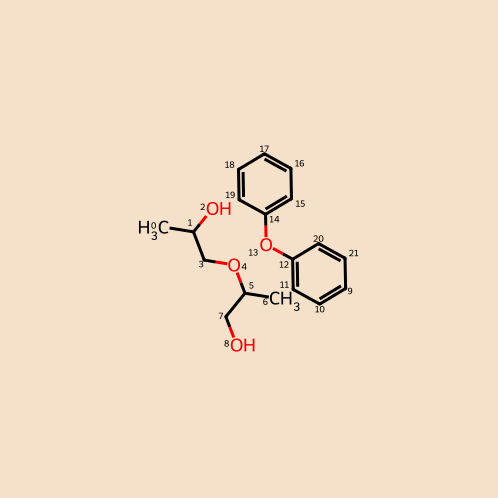 CC(O)COC(C)CO.c1ccc(Oc2ccccc2)cc1